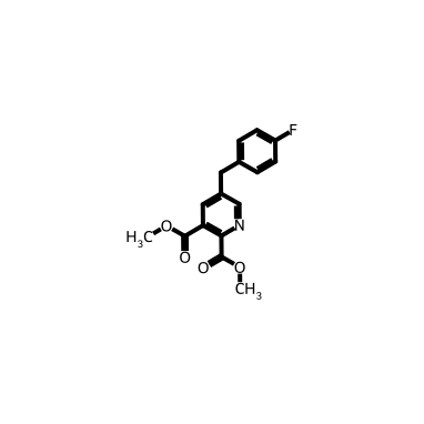 COC(=O)c1cc(Cc2ccc(F)cc2)cnc1C(=O)OC